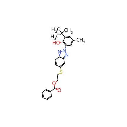 Cc1cc(-n2nc3ccc(SCCOC(=O)c4ccccc4)cc3n2)c(O)c(C(C)(C)C)c1